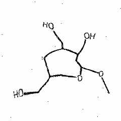 COC1OC(CO)[C]C(O)C1O